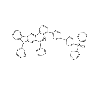 O=P(c1ccccc1)(c1ccccc1)c1ccc(-c2ccc(-c3cccc4c3nc(-c3ccccc3)c3cc5c(cc34)c3ccccc3n5-c3ccccc3)cc2)cc1